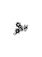 CC(N)(OC(=O)C(F)(F)F)c1nc2ncccc2n1-c1ccc(Cl)cn1